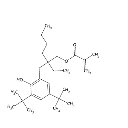 C=C(C)C(=O)OCC(CC)(CCCC)Cc1cc(C(C)(C)C)cc(C(C)(C)C)c1O